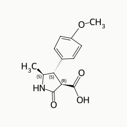 COc1ccc([C@@H]2[C@@H](C(=O)O)C(=O)N[C@H]2C)cc1